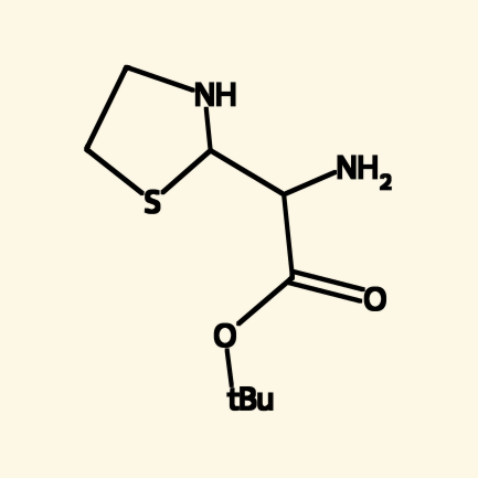 CC(C)(C)OC(=O)C(N)C1NCCS1